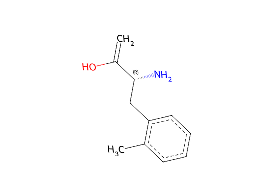 C=C(O)[C@H](N)Cc1ccccc1C